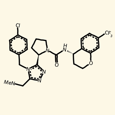 CNCc1nnc([C@H]2CCCN2C(=O)N[C@H]2CCOc3cc(C(F)(F)F)ccc32)n1Cc1ccc(Cl)cc1